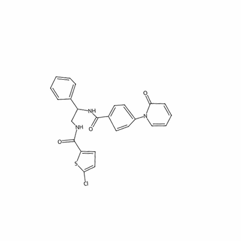 O=C(NC(CNC(=O)c1ccc(Cl)s1)c1ccccc1)c1ccc(-n2ccccc2=O)cc1